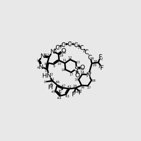 C[C@H]1Nc2ncnc3c2cc(C2CCS(=O)(=O)CC2)c(=O)n3CCCCCCCC(C(F)F)N2CCC(CC2)C(F)(F)c2cccc1c2F